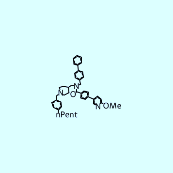 CCCCCc1ccc(CN2CCC(CN(Cc3ccc(-c4ccccc4)cc3)C(=O)c3ccc(-c4ccc(OC)nc4)cc3)CC2)cc1